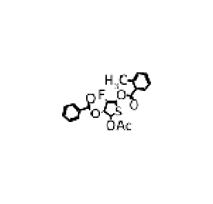 CC(=O)OC1S[C@@H](OC(=O)c2ccccc2C)[C@@H](F)[C@H]1OC(=O)c1ccccc1